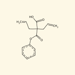 C=CCC(CC=C)(C(=O)O)C(=O)Oc1ccccc1